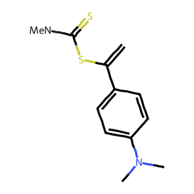 C=C(SC(=S)NC)c1ccc(N(C)C)cc1